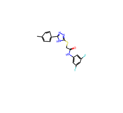 Cc1ccc(-c2nnc(SCC(=O)Nc3cc(F)cc(F)c3)[nH]2)cc1